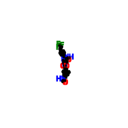 CC(=O)NCc1cc(C)c(C=CS(=O)(=O)N2CCC3(CC2)N=C(C2CCC(CCC(F)(F)F)CC2)NC3=O)c(C)c1